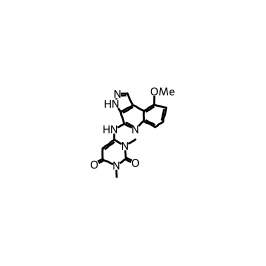 COc1cccc2nc(Nc3cc(=O)n(C)c(=O)n3C)c3[nH]ncc3c12